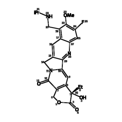 CC[C@@]1(O)C(=O)OCc2c1cc1n(c2=O)Cc2cc3c(CNC(C)C)c(OC)c(F)cc3nc2-1